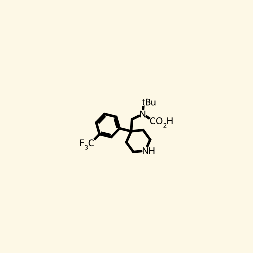 CC(C)(C)N(CC1(c2cccc(C(F)(F)F)c2)CCNCC1)C(=O)O